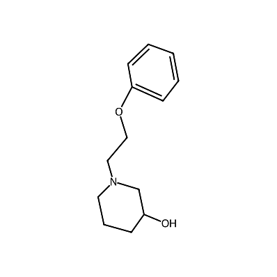 OC1CCCN(CCOc2ccccc2)C1